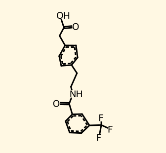 O=C(O)Cc1ccc(CCNC(=O)c2cccc(C(F)(F)F)c2)cc1